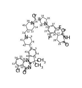 CC1(C)c2ccc(C3CCN(CC4CCN(C(=O)[C@@H]5CCN(c6cc(F)c(C7CCC(=O)NC7=O)c(F)c6)C5)CC4)CC3)cc2-n2c1nc(=O)c1c(Cl)cccc12